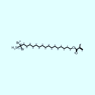 C=C(C)C(=O)OCCCCCCCCCCCCCCCCC([SiH3])(Br)Br